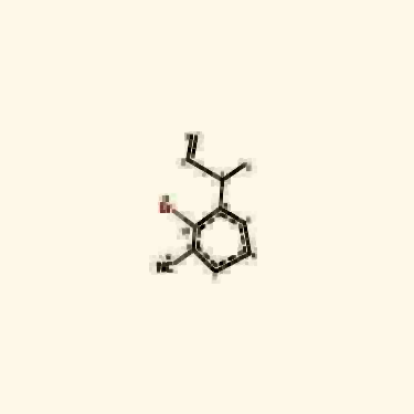 [CH2]C(C=C)c1cccc(C#N)c1Br